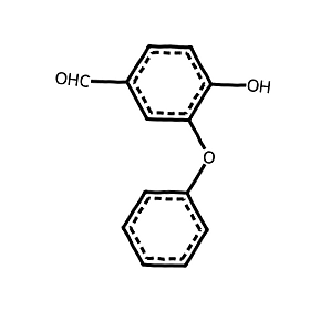 O=Cc1ccc(O)c(Oc2ccccc2)c1